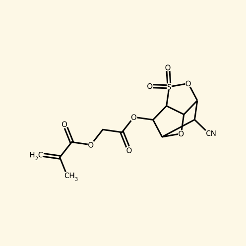 C=C(C)C(=O)OCC(=O)OC1C2OC3C(OS(=O)(=O)C13)C2C#N